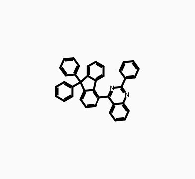 c1ccc(-c2nc(-c3cccc4c3-c3ccccc3C4(c3ccccc3)c3ccccc3)c3ccccc3n2)cc1